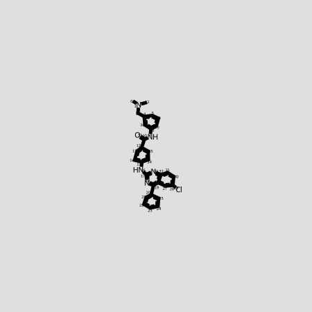 CN(C)Cc1cccc(NC(=O)c2ccc(Nc3nc(-c4ccccc4)c4cc(Cl)ccc4n3)cc2)c1